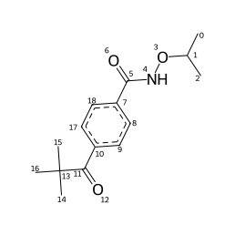 CC(C)ONC(=O)c1ccc(C(=O)C(C)(C)C)cc1